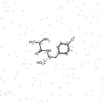 C[C@@H](N)C(=O)N[C@H](Cc1ccc(Cl)cc1)C(=O)O